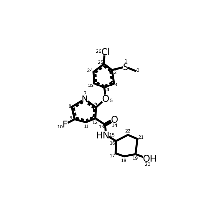 CSc1cc(Oc2ncc(F)cc2C(=O)NC2CCC(O)CC2)ccc1Cl